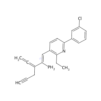 C#CCC(=C=C)/C(P)=C/c1ccc(-c2cccc(Cl)c2)nc1CC